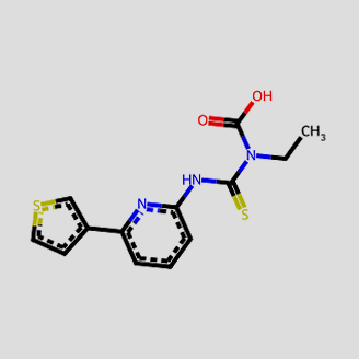 CCN(C(=O)O)C(=S)Nc1cccc(-c2ccsc2)n1